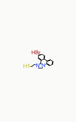 Br.SCCN1CCN2c3ccccc3-c3ccccc3C12